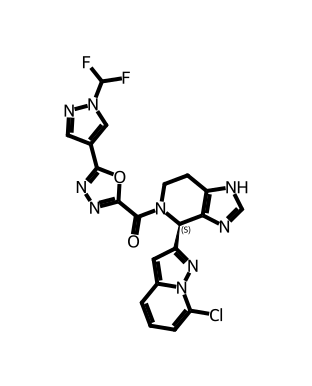 O=C(c1nnc(-c2cnn(C(F)F)c2)o1)N1CCc2[nH]cnc2[C@H]1c1cc2cccc(Cl)n2n1